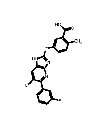 Cc1ccc(Oc2nc3nc(-c4cccc(F)c4)c(Cl)cc3[nH]2)cc1C(=O)O